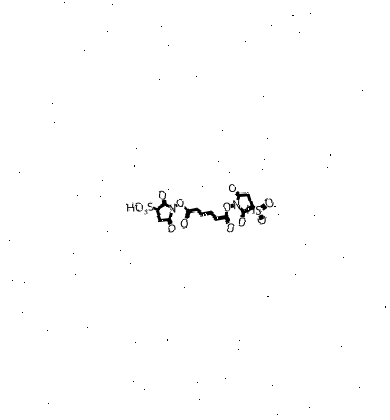 O=C(CCCCC(=O)ON1C(=O)CC(S(=O)(=O)O)C1=O)ON1C(=O)CC([SH](=O)=O)C1=O